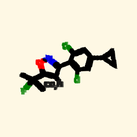 CCOC(=O)c1c(-c2c(Cl)cc(C3CC3)cc2Cl)noc1C(C)(C)F